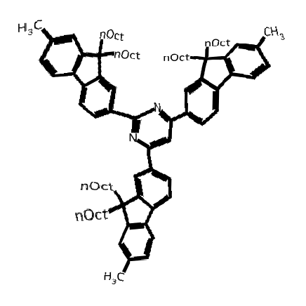 CCCCCCCCC1(CCCCCCCC)c2cc(C)ccc2-c2ccc(-c3cc(-c4ccc5c(c4)C(CCCCCCCC)(CCCCCCCC)c4cc(C)ccc4-5)nc(-c4ccc5c(c4)C(CCCCCCCC)(CCCCCCCC)c4cc(C)ccc4-5)n3)cc21